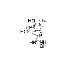 COc1cc2sc(C(=N)NO)cc2c(Cl)c1O.Cl